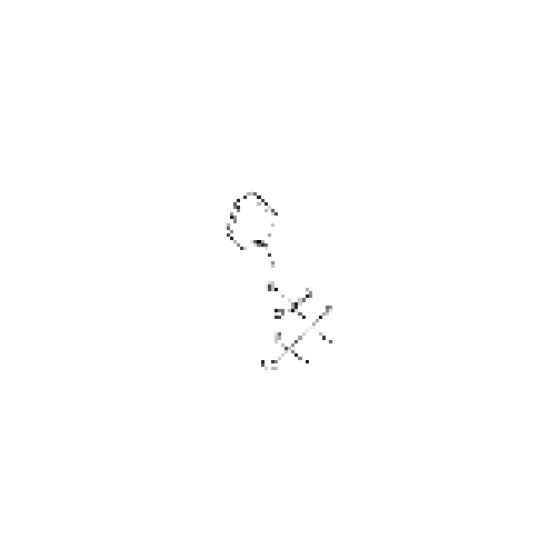 O=S(=O)(NCc1ccccc1)C(F)(F)C(F)(F)C(F)(F)F